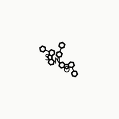 c1ccc(-c2ccc(N(c3ccc4oc5c(-c6ccccc6)cccc5c4c3)c3cccc4sc5c(-c6ccccc6)cccc5c34)cc2)cc1